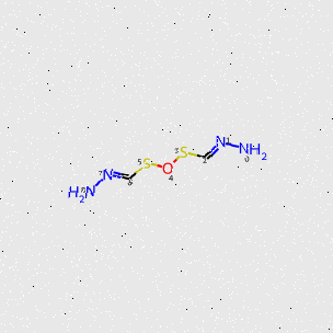 NN=CSOSC=NN